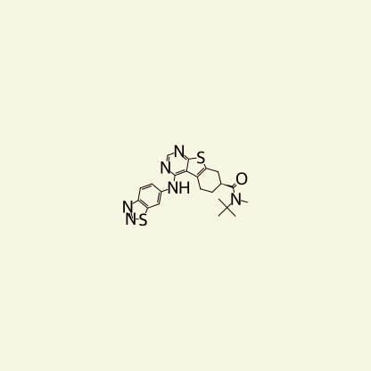 CN(C(=O)[C@H]1CCc2c(sc3ncnc(Nc4ccc5nnsc5c4)c23)C1)C(C)(C)C